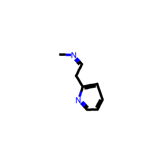 C/N=C\Cc1ccccn1